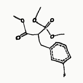 COC(=O)C(Cc1cccc(F)c1)P(=O)(OC)OC